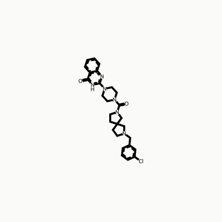 O=C(N1CCN(c2nc3ccccc3c(=O)[nH]2)CC1)N1CCC2(CCN(Cc3cccc(Cl)c3)C2)C1